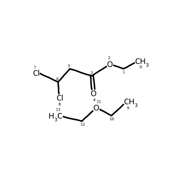 CCOC(=O)CC(Cl)Cl.CCOCC